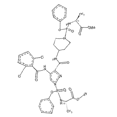 COC(=O)[C@H](C)NP(=O)(Oc1ccccc1)N1CCC(NC(=O)c2nn(P(=O)(N[C@@H](C)C(=O)OC(C)C)Oc3ccccc3)cc2NC(=O)c2c(Cl)cccc2Cl)CC1